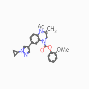 COc1ccccc1OC(=O)N1C[C@H](C)N(C(C)=O)c2ccc(-c3cnn(C4CC4)c3)cc21